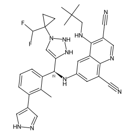 Cc1c(-c2cn[nH]c2)cccc1[C@H](Nc1cc(C#N)c2ncc(C#N)c(NCC(C)(C)C)c2c1)C1=CN(C2(C(F)F)CC2)NN1